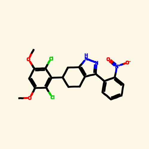 COc1cc(OC)c(Cl)c(C2CCc3c(-c4ccccc4[N+](=O)[O-])n[nH]c3C2)c1Cl